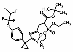 CCOP(=O)(OCC)C(Cc1nc(C2(c3ccc(OC(F)(F)C(F)F)cc3)CC2)no1)C(=O)OC(C)(C)C